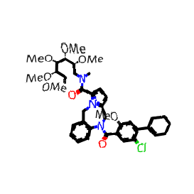 COC[C@@H](OC)[C@@H](OC)[C@H](OC)[C@H](CN(C)C(=O)c1ccc2n1Cc1ccccc1N(C(=O)c1cc(Cl)c(C3=CCCCC3)cc1OC)C2)OC